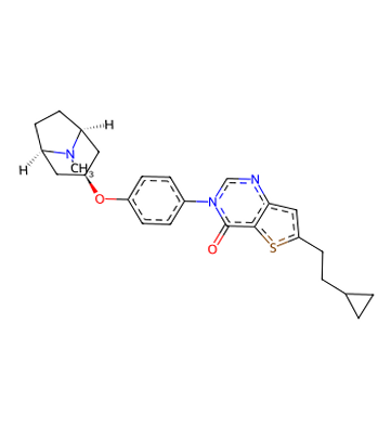 CN1[C@@H]2CC[C@H]1C[C@@H](Oc1ccc(-n3cnc4cc(CCC5CC5)sc4c3=O)cc1)C2